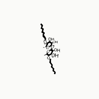 CCCCCCCCO[C@H]1[C@@H](O)[C@@H](O)[C@@H](OC2O[C@H](C)[C@@H](OCCCCCCCC)[C@H](O)[C@H]2O)O[C@@H]1C